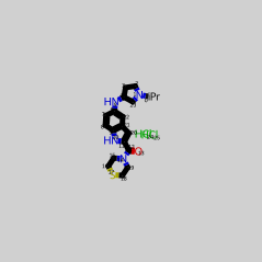 CC(C)N1CCC(Nc2ccc3[nH]c(C(=O)N4CCSCC4)cc3c2)C1.Cl.Cl